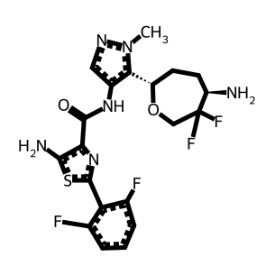 Cn1ncc(NC(=O)c2nc(-c3c(F)cccc3F)sc2N)c1[C@@H]1CC[C@@H](N)C(F)(F)CO1